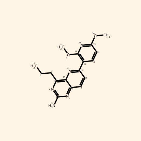 CCCc1nc(N)nc2ccc(-c3ccc(OC)nc3OC)nc12